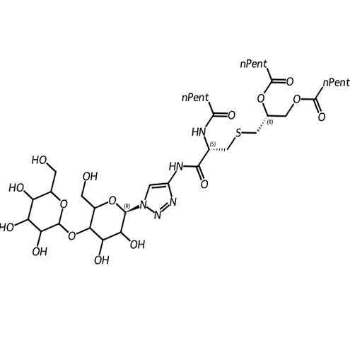 CCCCCC(=O)N[C@H](CSC[C@@H](COC(=O)CCCCC)OC(=O)CCCCC)C(=O)Nc1cn([C@@H]2OC(CO)C(OC3OC(CO)C(O)C(O)C3O)C(O)C2O)nn1